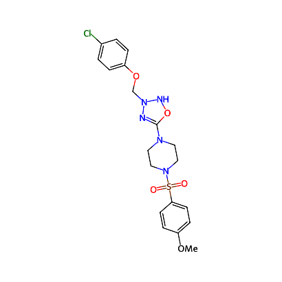 COc1ccc(S(=O)(=O)N2CCN(C3=NN(COc4ccc(Cl)cc4)NO3)CC2)cc1